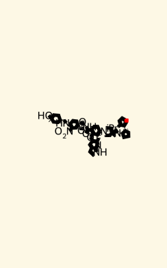 CC(C)c1ccccc1[C@@H]1CCC[C@@H]1N1CC2(CCN(c3ccc(C(=O)NS(=O)(=O)c4ccc(NC[C@H]5CC[C@](C)(O)CC5)c([N+](=O)[O-])c4)c(Oc4cc5cc[nH]c5nc4F)c3)CC2)C1